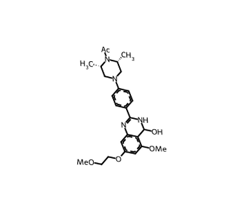 COCCOc1cc2c(c(OC)c1)C(O)NC(c1ccc(N3C[C@@H](C)N(C(C)=O)[C@@H](C)C3)cc1)=N2